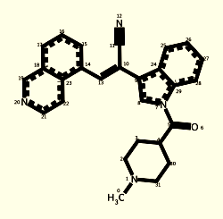 CN1CCC(C(=O)n2cc(C(C#N)=Cc3cccc4cnccc34)c3ccccc32)CC1